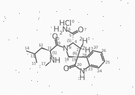 Cl.[2H]C1([2H])[C@@H](C(N)=O)N(C(=O)[C@H](CC(C)C)NC)C[C@@]12C(=O)Nc1ccccc12